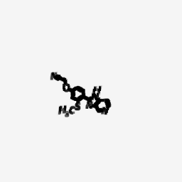 CSc1cc(OCC#N)ccc1-c1nc2cnccc2[nH]1